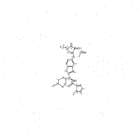 COC[C@H](c1ccc2oc([C@@H](NC(=O)c3ccnn3C)C3CCC(F)CC3)nc2c1)N1C[C@@H](C(F)(F)F)NC1=O